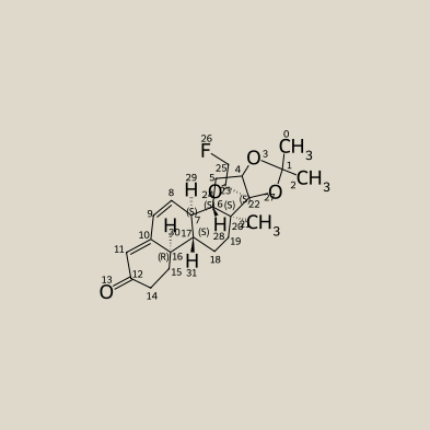 CC1(C)OC2C[C@H]3[C@@H]4C=CC5=CC(=O)CC[C@@H]5[C@H]4CC[C@]3(C)[C@]2(C(=O)CF)O1